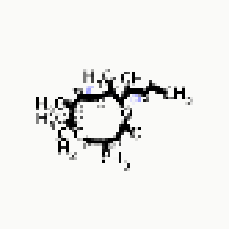 C=C/C=C(\C)C1OC(=O)CC(C)CCC(C)(C)C(C)/C=C/C1C